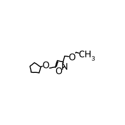 CCOCc1cc(COC2CCCC2)on1